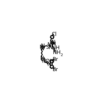 NCCNc1nc(SCc2cn(CCCCCN3CCN(CC(O)Cn4c5ccc(Br)cc5c5cc(Br)ccc54)CC3)nn2)nc2c1nnn2Cc1ccc(Cl)cc1